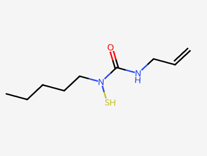 C=CCNC(=O)N(S)CCCCC